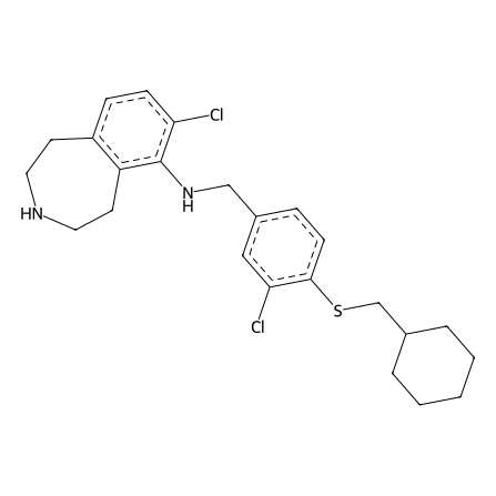 Clc1cc(CNc2c(Cl)ccc3c2CCNCC3)ccc1SCC1CCCCC1